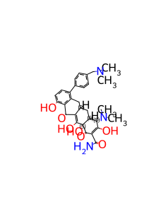 CN(C)Cc1ccc(-c2ccc(O)c3c2C[C@H]2C[C@H]4[C@H](N(C)C)C(O)=C(C(N)=O)C(=O)[C@@]4(O)C(O)=C2C3=O)cc1